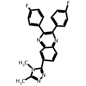 Cc1nnc(-c2ccc3nc(-c4ccc(F)cc4)c(-c4ccc(F)cc4)nc3c2)n1C